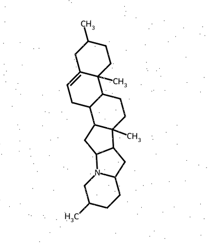 CC1CCC2(C)C(=CCC3C2CCC2(C)C3CC3C2CC2CCC(C)CN23)C1